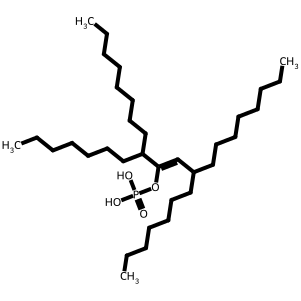 CCCCCCCCC(C=C(OP(=O)(O)O)C(CCCCCCC)CCCCCCCC)CCCCCCC